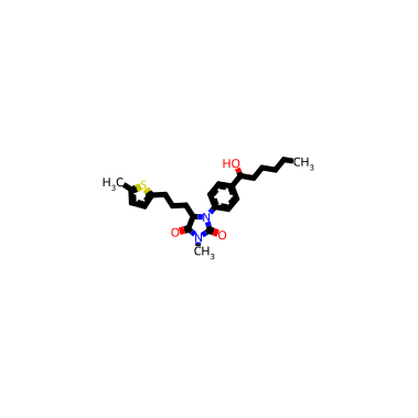 CCCCCC(O)c1ccc(N2C(=O)N(C)C(=O)C2CCCc2ccc(C)s2)cc1